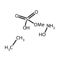 CC.COS(=O)(=O)O.NO